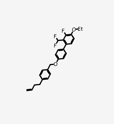 C=CCCc1ccc(COc2ccc(-c3ccc(OCC)c(F)c3C(F)F)cc2)cc1